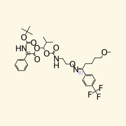 COCCCC/C(=N\OCCNC(=O)OC(OC(=O)[C@@H](NC(=O)OC(C)(C)C)c1ccccc1)C(C)C)c1ccc(C(F)(F)F)cc1